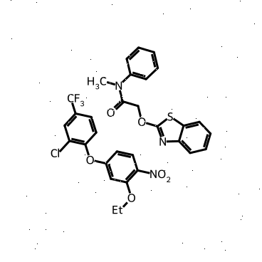 CCOc1cc(Oc2ccc(C(F)(F)F)cc2Cl)ccc1[N+](=O)[O-].CN(C(=O)COc1nc2ccccc2s1)c1ccccc1